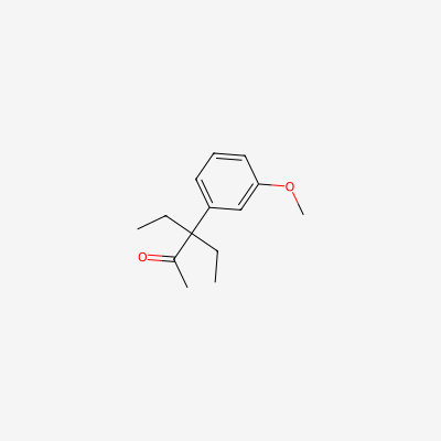 CCC(CC)(C(C)=O)c1cccc(OC)c1